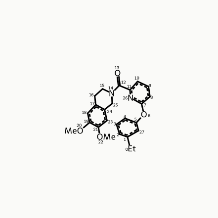 CCc1cccc(Oc2cccc(C(=O)N3CCc4cc(OC)c(OC)cc4C3)n2)c1